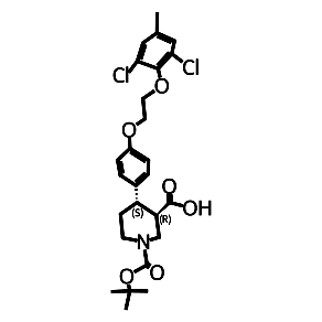 Cc1cc(Cl)c(OCCOc2ccc([C@H]3CCN(C(=O)OC(C)(C)C)C[C@@H]3C(=O)O)cc2)c(Cl)c1